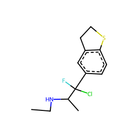 CCNC(C)C(F)(Cl)c1ccc2c(c1)CCS2